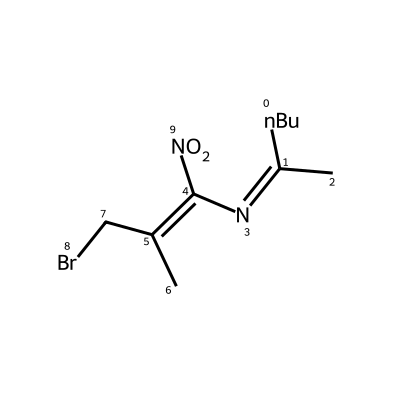 CCCC/C(C)=N\C(=C(/C)CBr)[N+](=O)[O-]